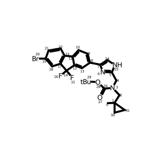 CC1(CN(Cc2nc(-c3ccc4c(c3)C(F)(F)c3cc(Br)ccc3-4)c[nH]2)C(=O)OC(C)(C)C)CC1